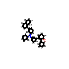 c1ccc(N(c2cccc(-c3cccc4ccccc34)c2)c2cccc(-c3cccc4oc5ccccc5c34)c2)cc1